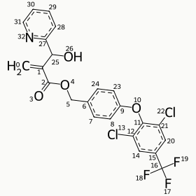 C=C(C(=O)OCc1ccc(Oc2c(Cl)cc(C(F)(F)F)cc2Cl)cc1)C(O)c1ccccn1